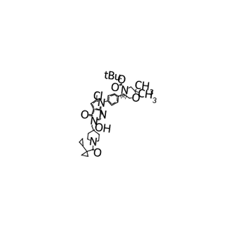 CC(C)(C)OC(=O)N1CC(C)(C)OC[C@H]1c1ccc(-n2c(Cl)cc3c(=O)n(CC4(O)CCN(C(=O)C5(C6CC6)CC5)CC4)cnc32)cc1